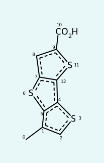 Cc1csc2c1sc1cc(C(=O)O)sc12